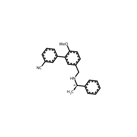 COc1ccc(CN[C@H](C)c2ccccc2)cc1-c1cccc(C#N)c1